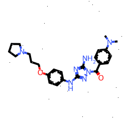 CN(C)c1ccc(C(=O)n2nc(Nc3ccc(OCCCN4CCCC4)cc3)nc2N)cc1